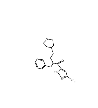 O=C(c1cc(C(F)(F)F)n[nH]1)N(CCC1CCSCC1)Cc1ccccc1